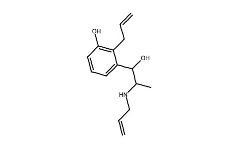 C=CCNC(C)C(O)c1cccc(O)c1CC=C